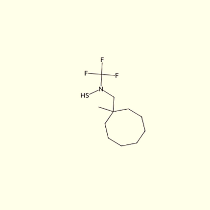 CC1(CN(S)C(F)(F)F)CCCCCCC1